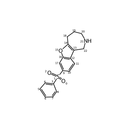 O=S(=O)(c1ccccc1)c1ccc2c3c(oc2c1)CCCNC3